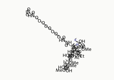 C/C=C\C#C[C@]1(O)CC(=O)C(NC(=O)OC)=C(C(C)O[C@@H]2O[C@H](C)[C@@H](NO[C@H]3C[C@H](O)[C@H](SC(=O)c4c(C)c(I)c(O[C@@H]5O[C@@H](C)[C@H](O)[C@@H](OC)[C@H]5O)c(OC)c4OC)[C@@H](C)O3)[C@H](O)[C@H]2O[C@H]2C[C@H](OC)[C@@H](N(CC)C(C)=O)CO2)/C1=C\CSSC(C)(C)CCC(=O)NCCNC(=O)CCOCCOCCOCCOCCOCCOCCOCCOCCNC(=O)CCN1C(=O)C=CC1=O